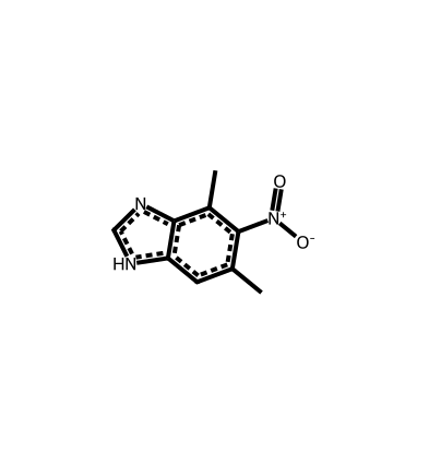 Cc1cc2[nH]cnc2c(C)c1[N+](=O)[O-]